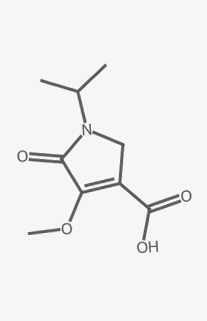 COC1=C(C(=O)O)CN(C(C)C)C1=O